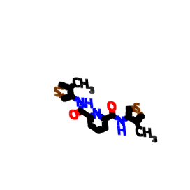 Cc1cscc1NC(=O)c1cccc(C(=O)Nc2cscc2C)n1